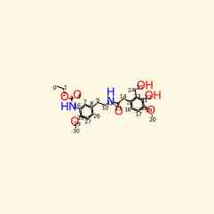 CCOC(=O)Nc1cc(CCNC(=O)Cc2ccc(OC)c(O)c2CO)ccc1OC